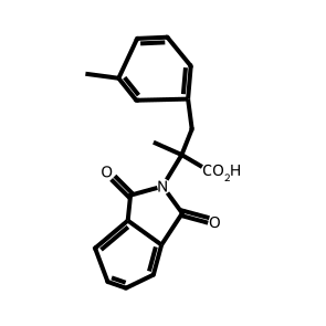 Cc1cccc(CC(C)(C(=O)O)N2C(=O)c3ccccc3C2=O)c1